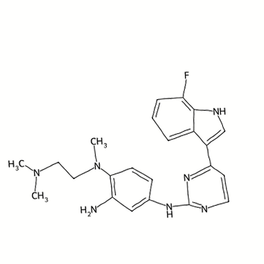 CN(C)CCN(C)c1ccc(Nc2nccc(-c3c[nH]c4c(F)cccc34)n2)cc1N